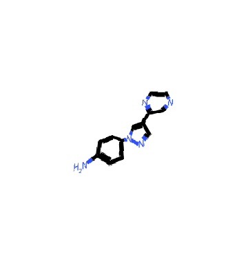 Nc1ccc(-n2cc(-c3cnccn3)cn2)cc1